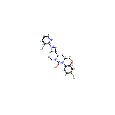 CCN(CC1CN(c2ncccc2F)C1)C(=O)N1c2ccc(F)cc2OCC1C